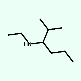 C[CH]NC(CCC)C(C)C